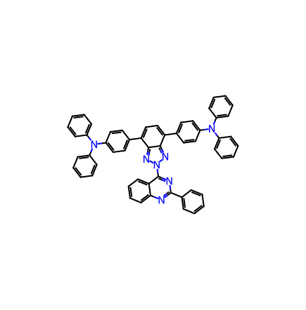 c1ccc(-c2nc(-n3nc4c(-c5ccc(N(c6ccccc6)c6ccccc6)cc5)ccc(-c5ccc(N(c6ccccc6)c6ccccc6)cc5)c4n3)c3ccccc3n2)cc1